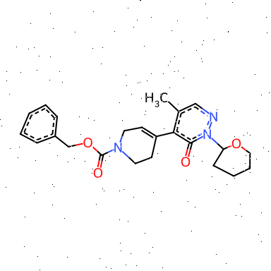 Cc1cnn(C2CCCCO2)c(=O)c1C1=CCN(C(=O)OCc2ccccc2)CC1